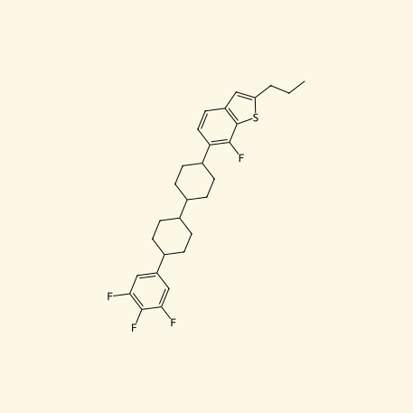 CCCc1cc2ccc(C3CCC(C4CCC(c5cc(F)c(F)c(F)c5)CC4)CC3)c(F)c2s1